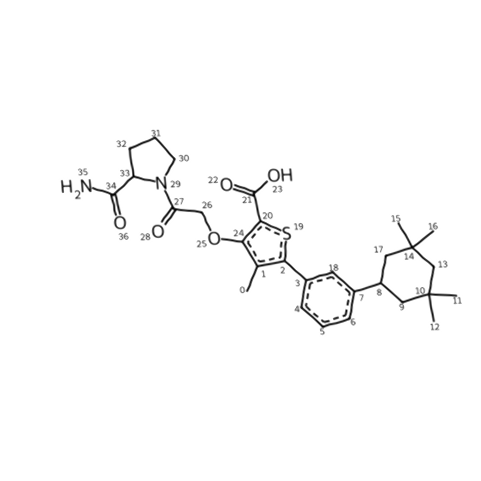 Cc1c(-c2cccc(C3CC(C)(C)CC(C)(C)C3)c2)sc(C(=O)O)c1OCC(=O)N1CCCC1C(N)=O